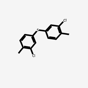 Cc1ccc(Sc2ccc(C)c(Cl)c2)cc1Cl